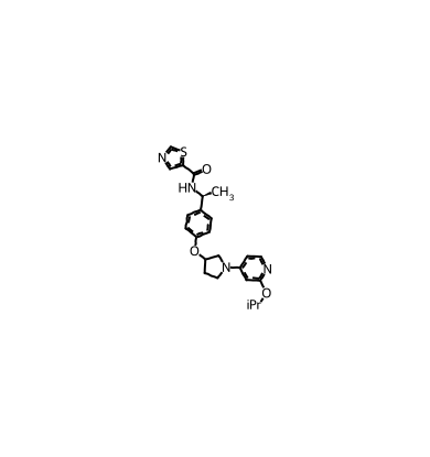 CC(C)Oc1cc(N2CCC(Oc3ccc([C@H](C)NC(=O)c4cncs4)cc3)C2)ccn1